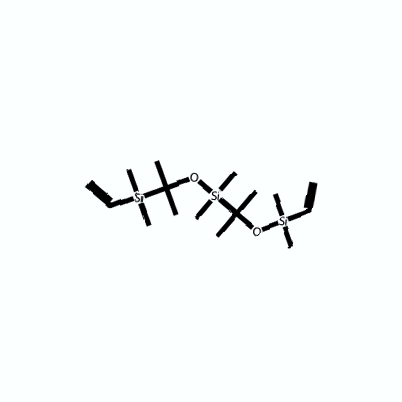 C=C[Si](C)(C)OC(C)(C)[Si](C)(C)OC(C)(C)[Si](C)(C)C=C